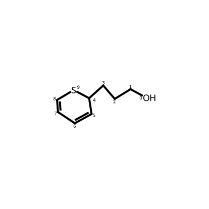 OCCCC1C=CC=CS1